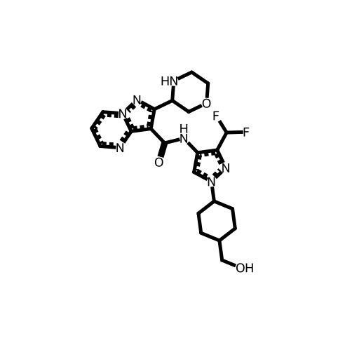 O=C(Nc1cn(C2CCC(CO)CC2)nc1C(F)F)c1c(C2COCCN2)nn2cccnc12